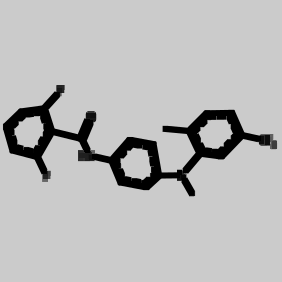 Cc1ccc(C(F)(F)F)cc1N(C)c1ccc(NC(=O)c2c(F)cccc2F)cc1